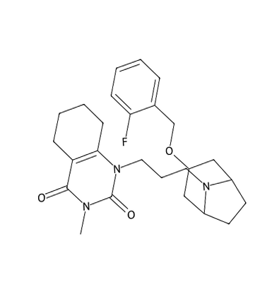 Cn1c(=O)c2c(n(CCCN3C4CCC3CC(OCc3ccccc3F)C4)c1=O)CCCC2